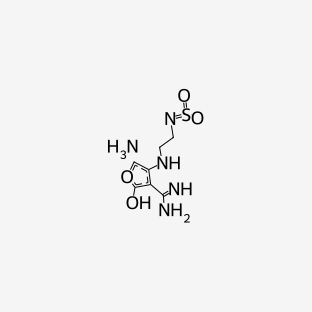 N.N=C(N)c1c(NCCN=S(=O)=O)coc1O